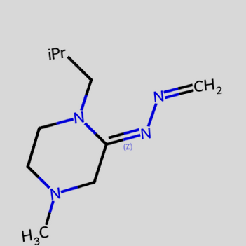 C=N/N=C1/CN(C)CCN1CC(C)C